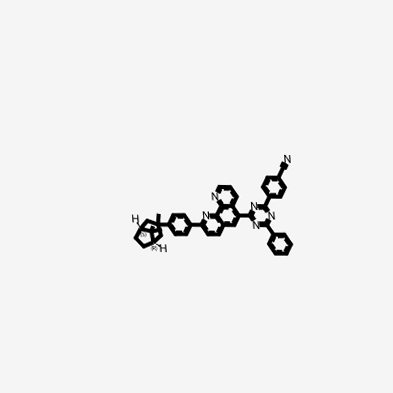 CC1(c2ccc(-c3ccc4cc(-c5nc(-c6ccccc6)nc(-c6ccc(C#N)cc6)n5)c5cccnc5c4n3)cc2)C[C@H]2CC[C@@H](C1)C2(C)C